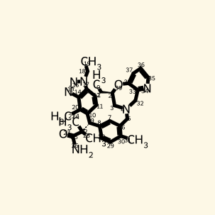 CC[C@@H]1CN(Cc2cc([C@@H](c3ccc4c(nnn4CC)c3C)C(C)(C)C(N)=O)ccc2C)Cc2ncccc2O1